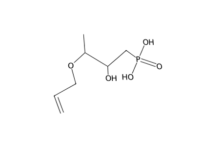 C=CCOC(C)C(O)CP(=O)(O)O